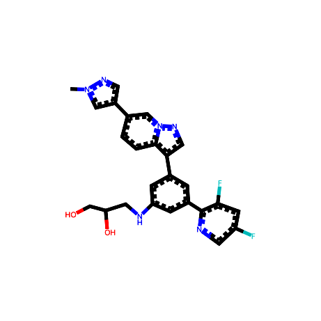 Cn1cc(-c2ccc3c(-c4cc(NCC(O)CO)cc(-c5ncc(F)cc5F)c4)cnn3c2)cn1